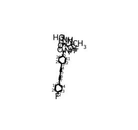 CC(N)(C(F)F)C(NC(=O)c1ccc(C#CC#Cc2ccc(F)cc2)cc1)C(=O)NO